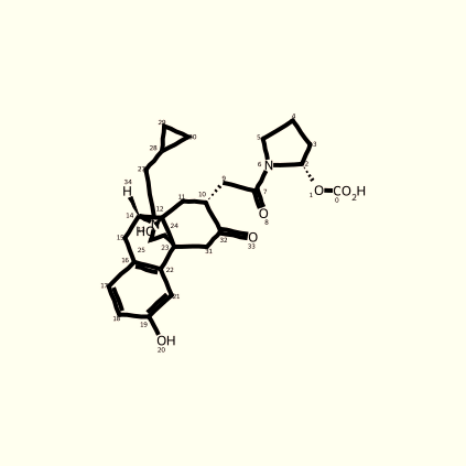 O=C(O)O[C@H]1CCCN1C(=O)C[C@H]1C[C@@]2(O)[C@H]3Cc4ccc(O)cc4[C@@]2(CCN3CC2CC2)CC1=O